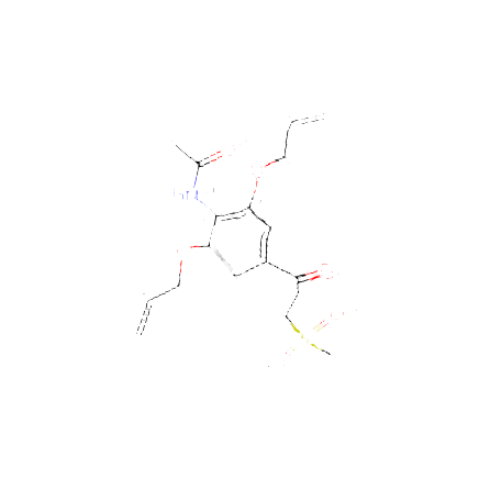 C=CCOc1cc(C(=O)CS(C)(=O)=O)cc(OCC=C)c1NC(C)=O